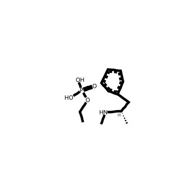 CCOP(=O)(O)O.CN[C@@H](C)Cc1ccccc1